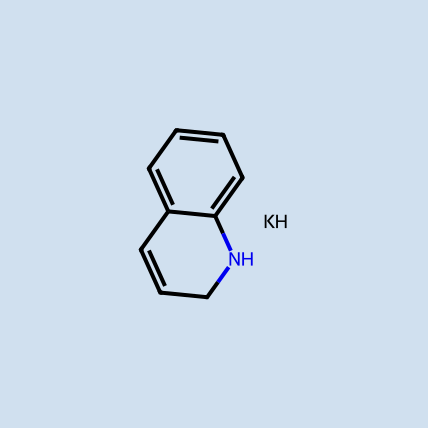 C1=Cc2ccccc2NC1.[KH]